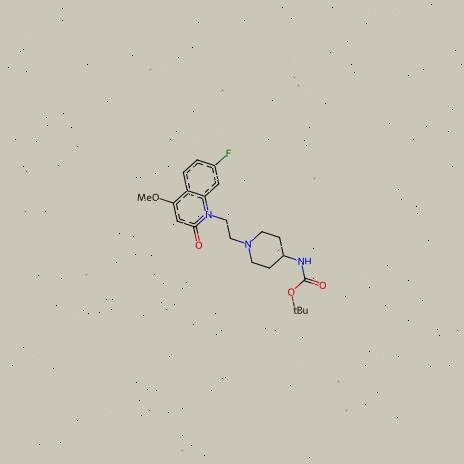 COc1cc(=O)n(CCN2CCC(NC(=O)OC(C)(C)C)CC2)c2cc(F)ccc12